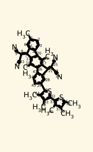 Cc1ccc2c(c1)C(=C(C#N)C#N)c1c(C)c3c(c(C)c1-2)C(=C(C#N)C#N)c1cc(-c2sc(-c4sc(C)c(C)c4C)c(C)c2C)ccc1-3